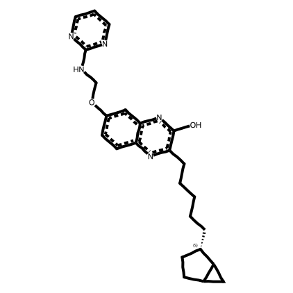 Oc1nc2cc(OCNc3ncccn3)ccc2nc1CCCCC[C@H]1CCC2CC21